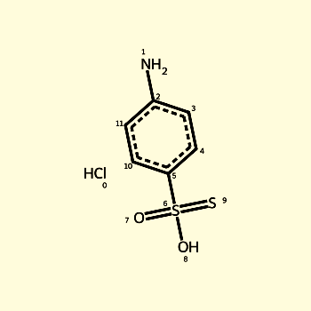 Cl.Nc1ccc(S(=O)(O)=S)cc1